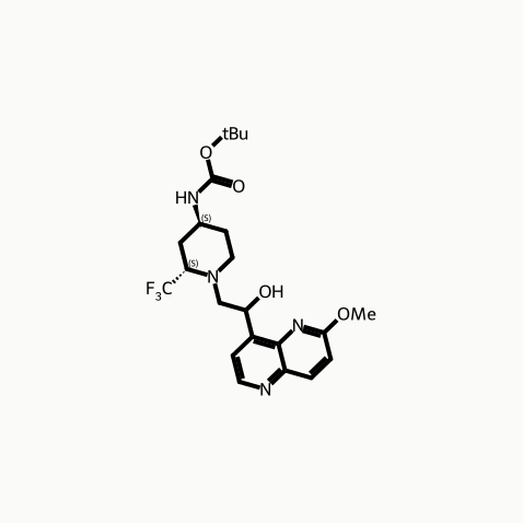 COc1ccc2nccc(C(O)CN3CC[C@H](NC(=O)OC(C)(C)C)C[C@H]3C(F)(F)F)c2n1